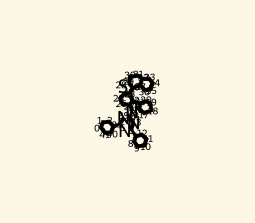 c1ccc(-c2nc(-c3ccccc3)nc(-n3c4ccccc4c4c5c(ccc43)sc3ccc4ccccc4c35)n2)cc1